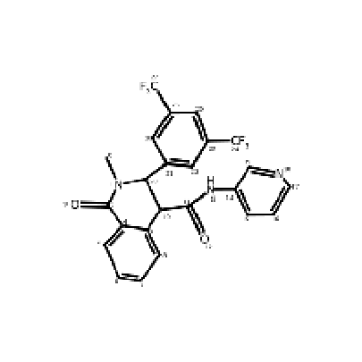 CN1C(=O)c2ccccc2C(C(=O)Nc2cccnc2)C1c1cc(C(F)(F)F)cc(C(F)(F)F)c1